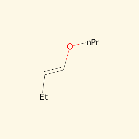 [CH2]CCO/C=C/CC